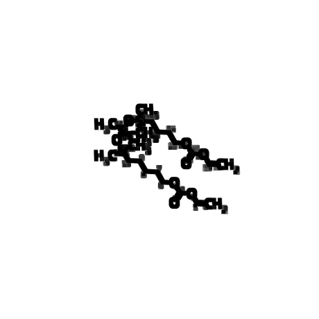 C=COC(=O)OCCCCC[Si](C)(C)O[Si](C)(C)O[Si](C)(C)CCCCOC(=O)OC=C